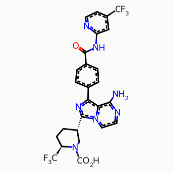 Nc1nccn2c([C@H]3CC[C@H](C(F)(F)F)N(C(=O)O)C3)nc(-c3ccc(C(=O)Nc4cc(C(F)(F)F)ccn4)cc3)c12